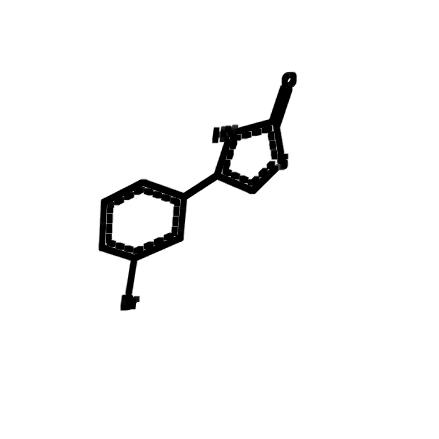 O=c1[nH]c(-c2cccc(Br)c2)cs1